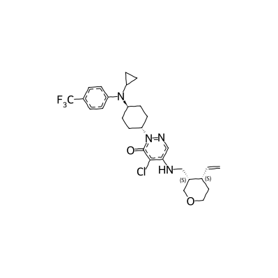 C=C[C@@H]1CCOC[C@@H]1CNc1cnn([C@H]2CC[C@H](N(c3ccc(C(F)(F)F)cc3)C3CC3)CC2)c(=O)c1Cl